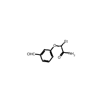 CCC(Oc1cccc(C=O)c1)C(N)=O